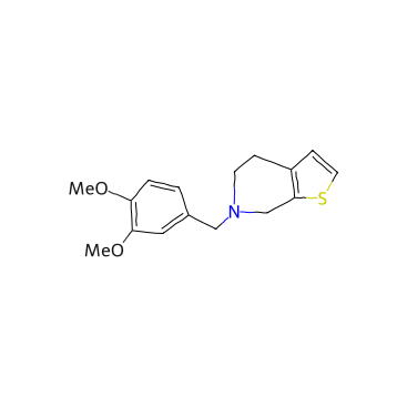 COc1ccc(CN2CCc3ccsc3C2)cc1OC